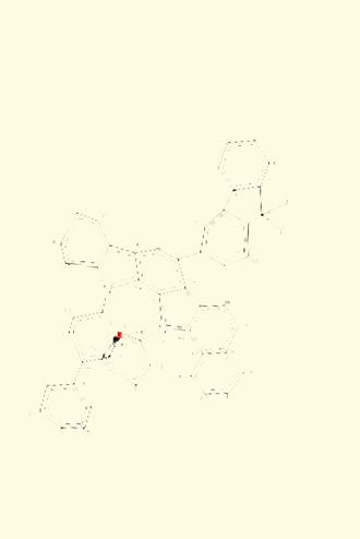 CC1(C)c2ccccc2-c2cc(-c3cc4c5ccccc5n(-c5ccc(-c6ccccc6)cc5)c4c4c3c3ccc5ccccc5c3n4-c3ccccc3)ccc21